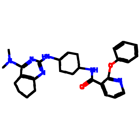 CN(C)c1nc(NC2CCC(NC(=O)c3cccnc3Oc3ccccc3)CC2)nc2c1CCCC2